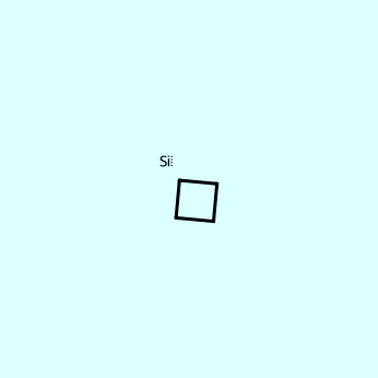 C1CCC1.[Si]